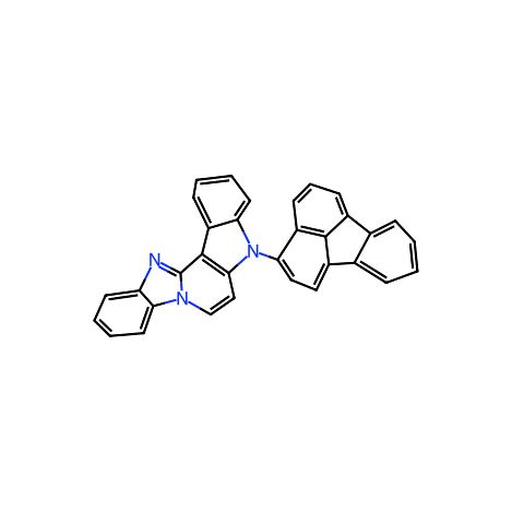 c1ccc2c(c1)-c1cccc3c(-n4c5ccccc5c5c4ccn4c6ccccc6nc54)ccc-2c13